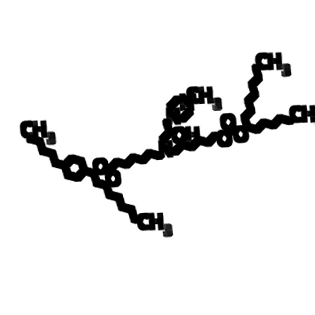 CCCCCCCCC(CCCCCC)OC(=O)OCCCCCCN(CCCCCCC(=O)OC(CCCCCCCC)C1CCC(CCCCCC)CC1)CC(O)CN1CCN(C)CC1